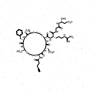 C#CCCC(=O)N[C@H]1CSSC[C@@H](C(=O)O)NC(=O)[C@H](Cc2ccccc2)NC(=O)[C@@H](N)CSSC[C@@H](C(=O)N[C@@H](CCCNC(=N)N)C(=O)NCC(=O)N[C@H](C=O)CC(=O)O)NC(=O)[C@H](CC(=O)O)NC1=O